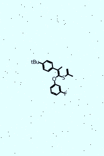 C=C(C)S/C(Oc1cccc(F)c1)=C(\C)c1ccc(C(C)(C)C)cc1